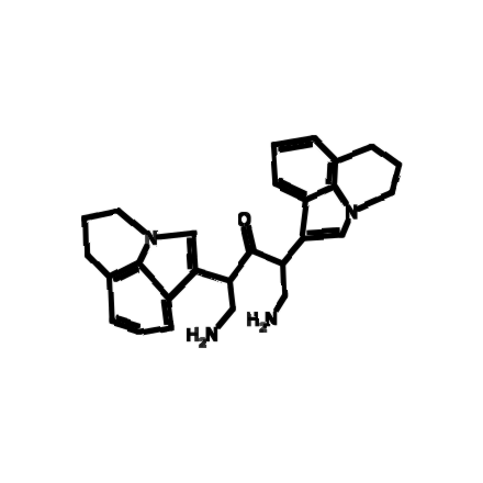 NCC(C(=O)C(CN)c1cn2c3c(cccc13)CCC2)c1cn2c3c(cccc13)CCC2